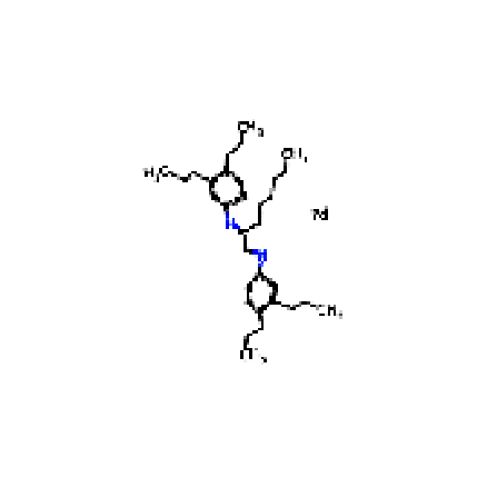 CCCCCCC(/C=N/c1ccc(CCC)c(CCC)c1)=N\c1ccc(CCC)c(CCC)c1.[Pd]